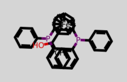 CC(O)[C]12[CH]3[CH]4[CH]5[CH]1[Fe]45321678[CH]2[CH]1[C]6(P(c1ccccc1)c1ccccc1)[C]7(P(c1ccccc1)c1ccccc1)[CH]28